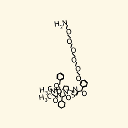 C[C@@H](C(=O)N[C@H](C(=O)N1CCC[C@H]1c1nc(C(=O)c2cccc(OCCOCCOCCOCCOCCOCCN)c2)cs1)C1CCCCC1)N(C)C(=O)OCc1ccccc1